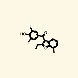 CCc1oc2c(C)cccc2c1C(=O)c1cc(I)c(O)c(I)c1